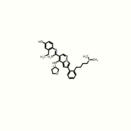 CCc1cc(O)ccc1/N=C(\N)c1cnn2cc(-c3ccccc3CCCCN(C)C)cc2c1N[C@H]1CCOC1